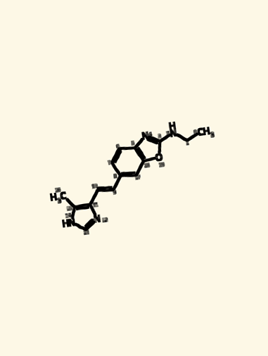 CCNc1nc2ccc(C=Cc3nc[nH]c3C)cc2o1